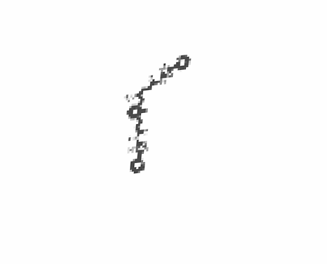 CC(CCC(=O)Nc1nnc(-c2ccccn2)[nH]1)Cc1cccc(CCC(=O)Nc2nnc(-c3ccccn3)[nH]2)c1F